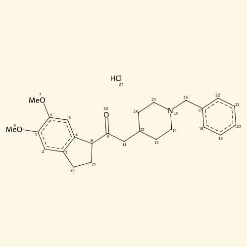 COc1cc2c(cc1OC)C(C(=O)CC1CCN(Cc3ccccc3)CC1)CC2.Cl